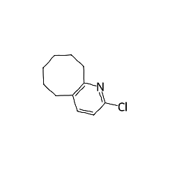 Clc1ccc2c(n1)CCCCCC2